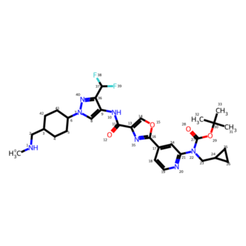 CNCC1CCC(n2cc(NC(=O)c3coc(-c4ccnc(N(CC5CC5)C(=O)OC(C)(C)C)c4)n3)c(C(F)F)n2)CC1